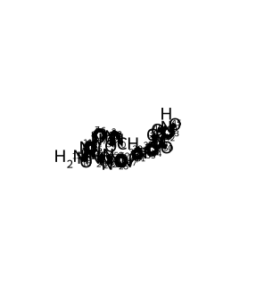 CN1CCN([C@@H]2CCCN(c3cnc(C(N)=O)c(Nc4cnc(N5CCN(C[C@H]6CCN(c7ccc8c(c7)C(=O)N(C7CCC(=O)NC7=O)C8=O)C6)CC5)nc4)n3)C2)C1=O